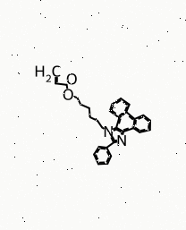 C=CC(=O)OCCCCCCn1c(-c2ccccc2)nc2c3ccccc3c3ccccc3c21